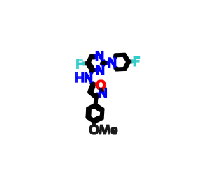 COc1ccc(-c2cc(Nc3nc(N4CCC(F)CC4)ncc3F)on2)cc1